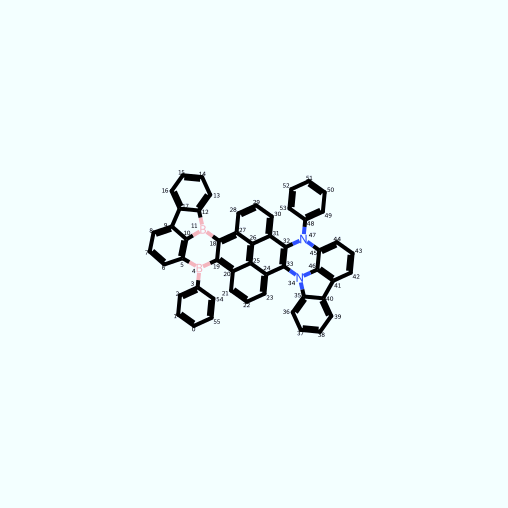 c1ccc(B2c3cccc4c3B(c3ccccc3-4)c3c2c2cccc4c2c2c3cccc2c2c4n3c4ccccc4c4cccc(c43)n2-c2ccccc2)cc1